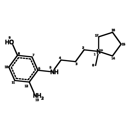 C[N+]1(CCCNc2cc(O)ccc2N)CCCC1